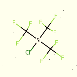 FC(F)(F)[Si](Cl)(C(F)(F)F)C(F)(F)F